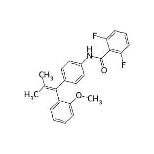 COc1ccccc1C(=C(C)C)c1ccc(NC(=O)c2c(F)cccc2F)cc1